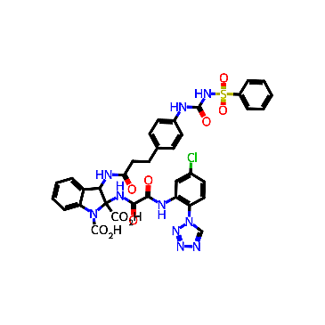 O=C(CCc1ccc(NC(=O)NS(=O)(=O)c2ccccc2)cc1)NC1c2ccccc2N(C(=O)O)C1(NC(=O)C(=O)Nc1cc(Cl)ccc1-n1cnnn1)C(=O)O